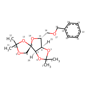 CC1(C)O[C@H]2[C@@H](O1)[C@@]1(COC(C)(C)O1)O[C@@H]2COCc1ccccc1